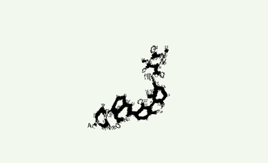 COc1nc(-c2ccc(F)c(-c3c(F)ccc(NC(=O)c4nn(C)c(=O)n(C)c4=O)c3C)c2Cl)cc2c1[C@@H](N1CCN(C(C)=O)CC1)CC2